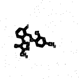 Cc1ccc(OCc2c(I)cccc2-n2nnn(C)c2=O)c(Cl)c1